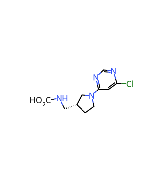 O=C(O)NC[C@H]1CCN(c2cc(Cl)ncn2)C1